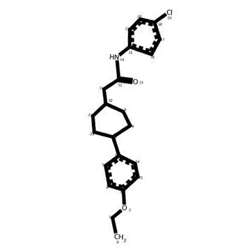 CCOc1ccc(C2CCC(CC(=O)Nc3ccc(Cl)cc3)CC2)cc1